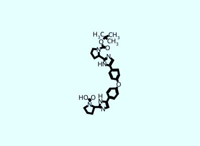 CC(C)(C)OC(=O)N1CCCC1c1ncc(-c2ccc(Oc3ccc(-c4cnc(C5CCCN5C(=O)O)[nH]4)cc3)cc2)[nH]1